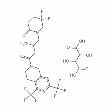 NC(CC(=O)N1CCc2c(nc(C(F)(F)F)nc2C(F)(F)F)C1)CN1CC(F)(F)CCC1=O.O=C(O)C(O)C(O)C(=O)O